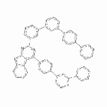 c1ccc(-c2ccc(-c3cccc(-c4cccc(-c5nc(-c6ccc(-c7cccc(-c8ccccc8)c7)cc6)c6c(n5)sc5ccccc56)c4)c3)cc2)cc1